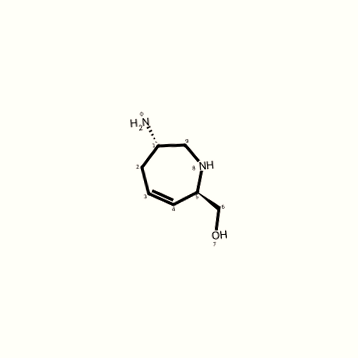 N[C@H]1CC=C[C@H](CO)NC1